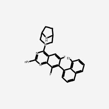 CCCc1nc(N2CC3CCC(C2)N3)c2cc(F)c(-c3cccc4cccc(CC)c34)c(F)c2n1